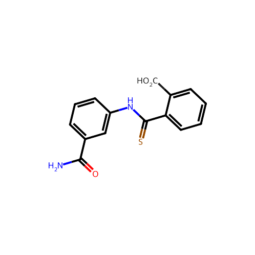 NC(=O)c1cccc(NC(=S)c2ccccc2C(=O)O)c1